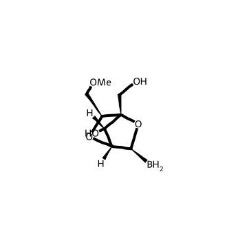 B[C@@H]1O[C@@]2(CO)[C@H](COC)O[C@@H]1[C@@H]2O